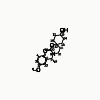 COc1cccc([C@H](C)N2CCC3(CCC(O)CC3)OC2=O)c1